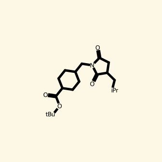 CC(C)CC1CC(=O)N(CC2CCC(C(=O)OC(C)(C)C)CC2)C1=O